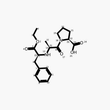 CCOC(=O)[C@H](Cc1ccccc1)N[C@@H](C)C(=O)N1CCC[C@H]1C(=O)O